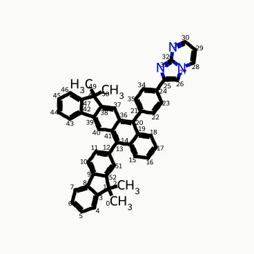 CC1(C)c2ccccc2-c2ccc(-c3c4ccccc4c(-c4ccc(-c5cn6cccnc6n5)cc4)c4cc5c(cc34)-c3ccccc3C5(C)C)cc21